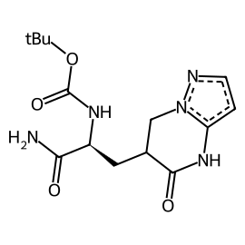 CC(C)(C)OC(=O)N[C@@H](CC1Cn2nccc2NC1=O)C(N)=O